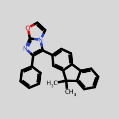 CC1(C)c2ccccc2-c2ccc(-c3c(-c4ccccc4)nc4occn34)cc21